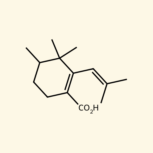 CC(C)=CC1=C(C(=O)O)CCC(C)C1(C)C